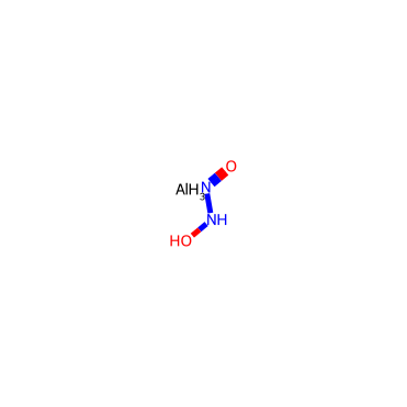 O=NNO.[AlH3]